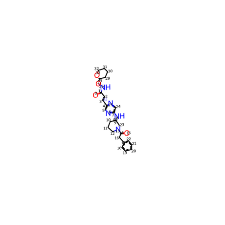 O=C(/C=C/c1cnc(N[C@@H]2CCCN(C(=O)Cc3ccccc3)C2)cn1)NOC1CCCCO1